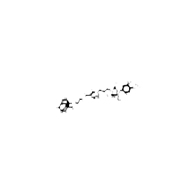 CCOC(=O)C(OCCOCc1cn(CCCN2C(=O)N(c3ccc(C#N)c(C(F)(F)F)c3)C(=O)C2(C)C)nn1)C12CC3CC(CC(C3)C1)C2